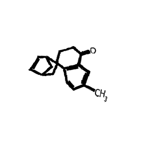 Cc1ccc2c(c1)C(=O)CCC21CC2C=CC1C2